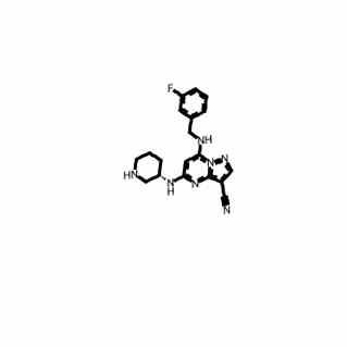 N#Cc1cnn2c(NCc3cccc(F)c3)cc(N[C@H]3CCCNC3)nc12